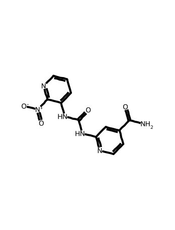 NC(=O)c1ccnc(NC(=O)Nc2cccnc2[N+](=O)[O-])c1